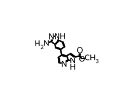 COC(=O)c1cc2c(-c3ccc4[nH]nc(N)c4c3)ccnc2[nH]1